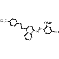 COc1cc(N)ccc1N=Nc1ccc(N=Nc2ccc(C(=O)O)cc2)c2ccccc12